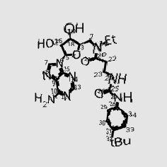 CCN(C[C@H]1O[C@@H](n2cnc3c(N)ncnc32)[C@H](O)[C@H]1O)C(=O)CCNC(=O)Nc1ccc(C(C)(C)C)cc1